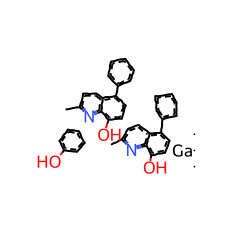 Cc1ccc2c(-c3ccccc3)ccc(O)c2n1.Cc1ccc2c(-c3ccccc3)ccc(O)c2n1.Oc1ccccc1.[Ga]